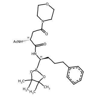 CC(=O)N[C@H](CC(=O)N1CCOCC1)C(=O)N[C@@H](CCCc1ccccc1)B1OC(C)(C)C(C)(C)O1